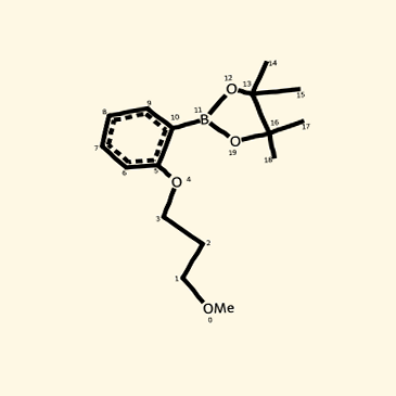 COCCCOc1ccccc1B1OC(C)(C)C(C)(C)O1